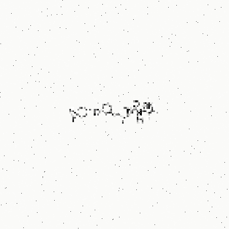 Cc1noc(NC(=O)N2CCC(=Cc3cccc(OCC4CCC(F)(F)CC4)c3)C(C)C2)c1C